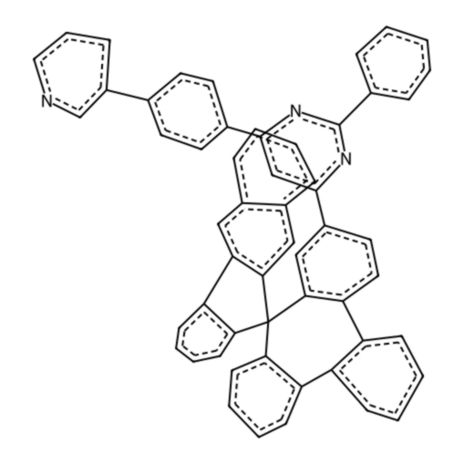 c1ccc(-c2nc(-c3ccc(-c4cccnc4)cc3)cc(-c3ccc4c(c3)C3(c5ccccc5-c5ccccc5-4)c4ccccc4-c4cc5ccccc5cc43)n2)cc1